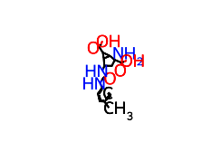 Cc1ccc(NC(=O)NC2CC(N)(C(=O)O)C3C(C(=O)O)C23)cc1